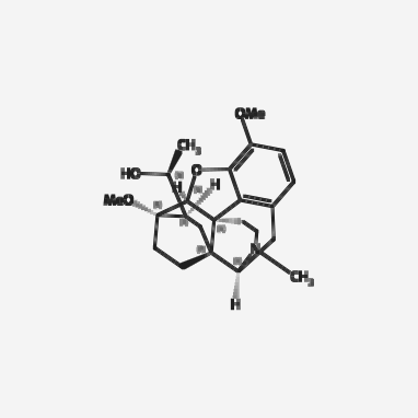 COc1ccc2c3c1O[C@@H]1[C@]4(OC)CC[C@]5(C[C@@H]4[C@H](C)O)[C@H](C2)N(C)CC[C@@]315